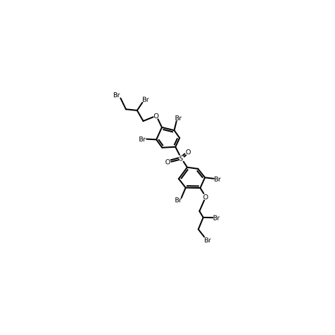 O=S(=O)(c1cc(Br)c(OCC(Br)CBr)c(Br)c1)c1cc(Br)c(OCC(Br)CBr)c(Br)c1